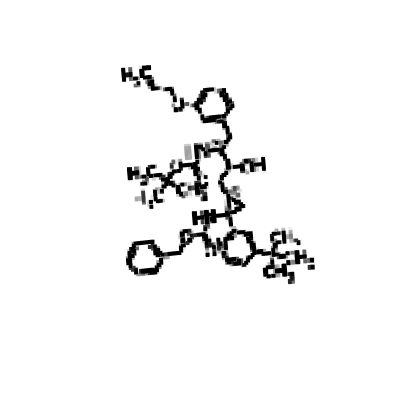 C=CCOc1cccc(C[C@H](NC(=O)OC(C)(C)C)C(O)C[C@H]2CC2(NC(=O)OCc2ccccc2)c2cc(C(C)(C)C)ccn2)c1